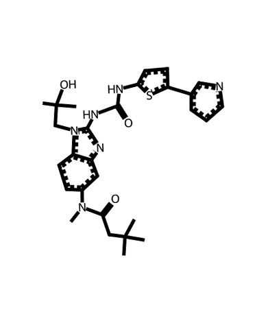 CN(C(=O)CC(C)(C)C)c1ccc2c(c1)nc(NC(=O)Nc1ccc(-c3cccnc3)s1)n2CC(C)(C)O